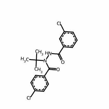 CC(C)(C)N(NC(=O)c1cccc(Cl)c1)C(=O)c1ccc(Cl)cc1